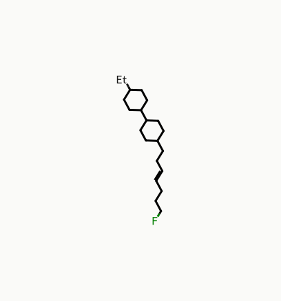 CCC1CCC(C2CCC(CC/C=C/CCCF)CC2)CC1